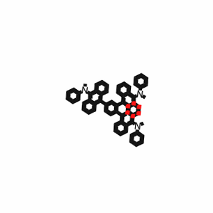 CN(c1ccccc1)c1c2ccccc2c(-c2ccc(-c3c4ccccc4c(N(C)c4ccccc4)c4ccccc34)c(-c3c4ccccc4c(N(C)c4ccccc4)c4ccccc34)c2)c2ccccc12